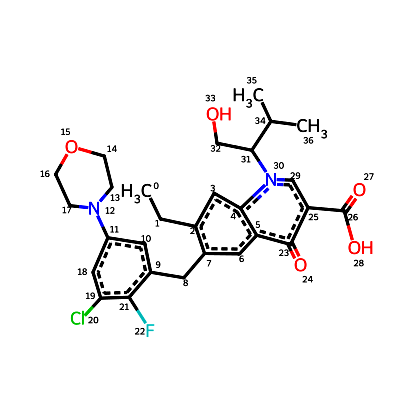 CCc1cc2c(cc1Cc1cc(N3CCOCC3)cc(Cl)c1F)c(=O)c(C(=O)O)cn2C(CO)C(C)C